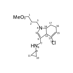 COCCCN1C=C(CNC2CC2)C2C(Cl)=CCCC21